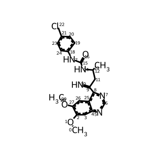 COc1cc2ncnc(C(=N)CC(C)NC(=O)Nc3ccc(Cl)cc3)c2cc1OC